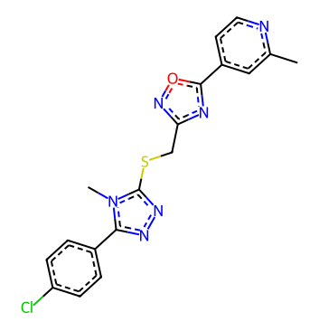 Cc1cc(-c2nc(CSc3nnc(-c4ccc(Cl)cc4)n3C)no2)ccn1